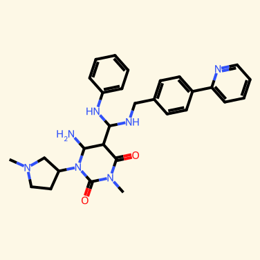 CN1CCC(N2C(=O)N(C)C(=O)C(C(NCc3ccc(-c4ccccn4)cc3)Nc3ccccc3)C2N)C1